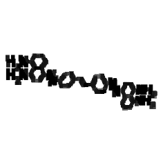 Nc1cccc2c(N=Nc3ccc(C=Cc4ccc(N=Nc5ccc(N)c6c(N)cccc56)cc4)cc3)ccc(N)c12